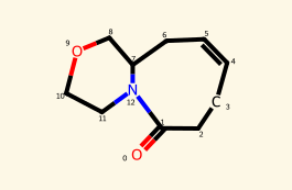 O=C1CCC=CCC2COCCN12